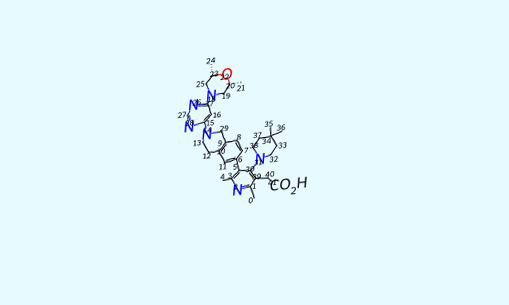 Cc1nc(C)c(-c2ccc3c(c2)CCN(c2cc(N4C[C@@H](C)O[C@@H](C)C4)ncn2)C3)c(N2CCC(C)(C)CC2)c1CC(=O)O